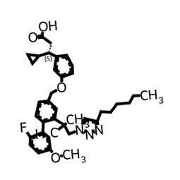 CCCCCCc1cn(CC(C)(C)c2cc(COc3cccc([C@@H](CC(=O)O)C4CC4)c3)ccc2-c2cc(OC)ccc2F)nn1